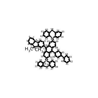 CC1(C)c2ccccc2-c2ccc(-c3c4ccc(N5c6ccccc6Cc6ccccc65)cc4c(-c4ccc(-c5ccccc5)cc4)c4ccc(N5c6ccccc6Cc6ccccc65)cc34)cc21